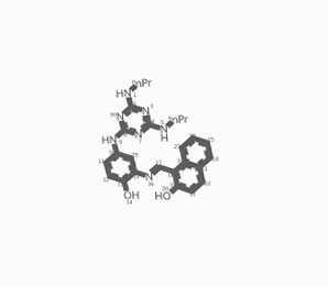 CCCNc1nc(NCCC)nc(Nc2ccc(O)c(N=Cc3c(O)ccc4ccccc34)c2)n1